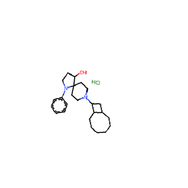 Cl.OC1CCN(c2ccccc2)C12CCN(C1CC3CCCCCCC31)CC2